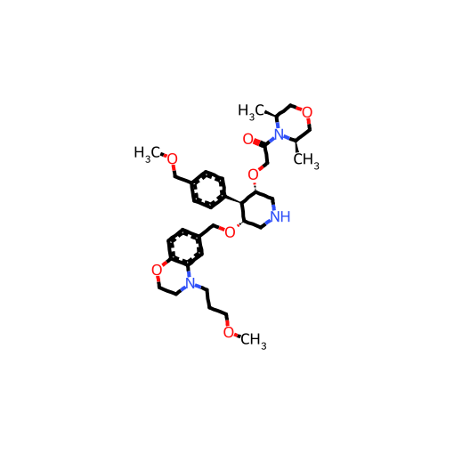 COCCCN1CCOc2ccc(CO[C@H]3CNC[C@@H](OCC(=O)N4[C@H](C)COC[C@@H]4C)[C@@H]3c3ccc(COC)cc3)cc21